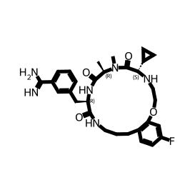 C[C@@H]1C(=O)N[C@H](Cc2cccc(C(=N)N)c2)C(=O)NCCCc2ccc(F)cc2OCCN[C@@H](C2CC2)C(=O)N1C